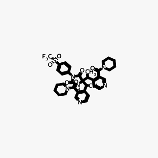 CC(c1ccncc1C(=O)N1CCCCC1)C1(C(C)c2ccncc2C(=O)N2CCCCC2)NC(=O)N(c2ccc(S(=O)(=O)C(F)(F)F)cc2)C1=O